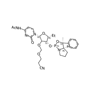 CC[C@H]1O[C@@H](n2ccc(NC(C)=O)nc2=O)C(OCOCCC#N)[C@H]1O[P@]1O[C@@](C)(c2ccccc2)[C@H]2CCCN21